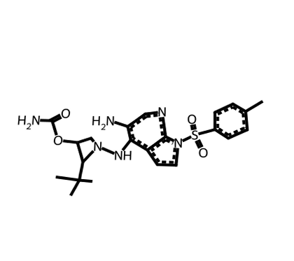 Cc1ccc(S(=O)(=O)n2ccc3c(NN4CC(OC(N)=O)C4C(C)(C)C)c(N)cnc32)cc1